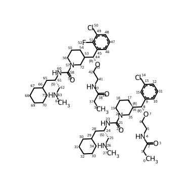 CCC(=O)NCCO[C@@H](c1cccc(Cl)c1)[C@@H]1CCCN(C(=O)N[C@H](CNC)CC2CCCCC2)C1.CCC(=O)NCCO[C@@H](c1cccc(Cl)c1F)C1CCCN(C(=O)N[C@H](CNC)CC2CCCCC2)C1